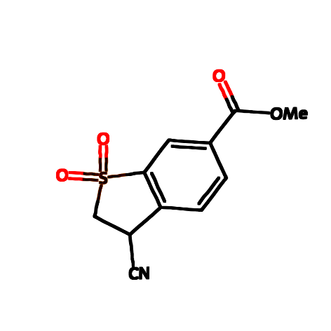 COC(=O)c1ccc2c(c1)S(=O)(=O)CC2C#N